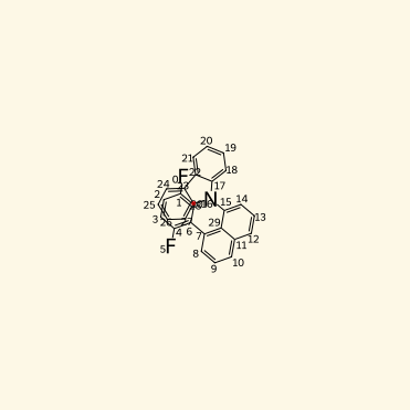 Fc1ccc(F)c(-c2cccc3cccc(-n4c5ccccc5c5ccccc54)c23)c1